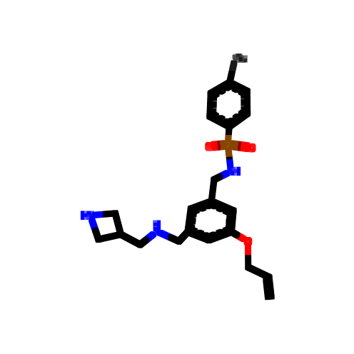 C=CCOc1cc(CNCC2CNC2)cc(CNS(=O)(=O)c2ccc(C(C)(C)C)cc2)c1